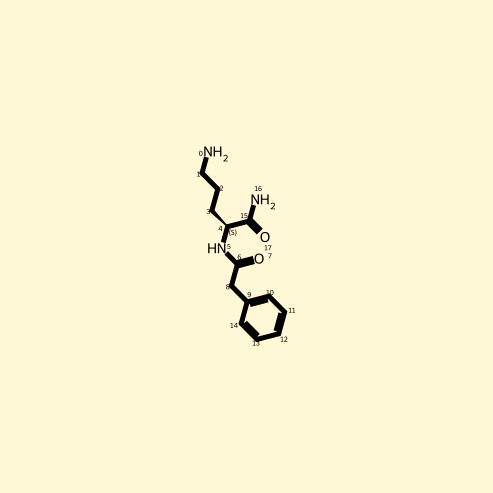 NCCC[C@H](NC(=O)Cc1ccccc1)C(N)=O